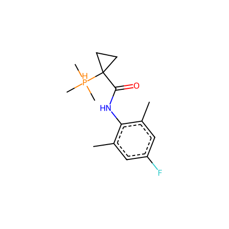 Cc1cc(F)cc(C)c1NC(=O)C1([PH](C)(C)C)CC1